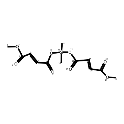 COC(=O)/C=C/C(=O)O[Si](C)(C)OC(=O)/C=C/C(=O)OC